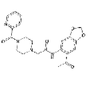 CC(=O)c1cc2c(cc1NC(=O)CN1CCN(C(=O)c3ccccn3)CC1)OCO2